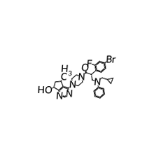 C[C@@H]1C[C@H](O)c2ncnc(N3CCN(C(=O)[C@H](CN(CC4CC4)c4ccccc4)c4ccc(Br)cc4F)CC3)c21